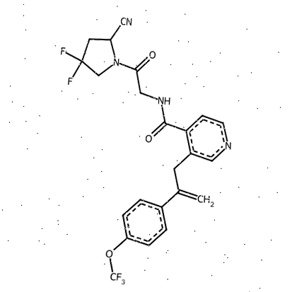 C=C(Cc1cnccc1C(=O)NCC(=O)N1CC(F)(F)CC1C#N)c1ccc(OC(F)(F)F)cc1